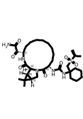 C=C(C)S(=O)(=O)CC1(NC(=O)N[C@H]2CCCCCCCC[C@@H](C(=O)C(N)=O)NC(=O)[C@@H]3[C@@H]4[C@H](CN3C2=O)C4(C)C)CCCCC1